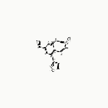 O=Cc1cc(-c2ccoc2)c2ccc(O)cc2c1